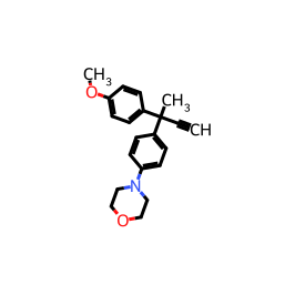 C#CC(C)(c1ccc(OC)cc1)c1ccc(N2CCOCC2)cc1